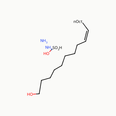 CCCCCCCC/C=C\CCCCCCCCO.N.N.O=S(=O)(O)O